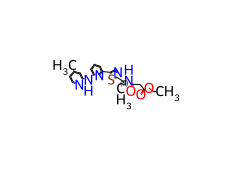 CCOC(=O)CC(=O)N[C@@H](C)c1ncc(-c2cccc(Nc3cc(C)ccn3)n2)s1